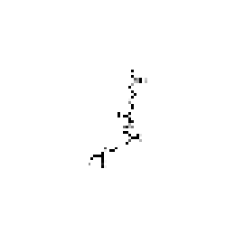 CCC(=O)CCCCC(=O)OOC(=O)CCCCC(=O)CC